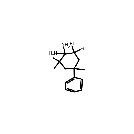 CCC1(CC)CC(C)(c2ccccc2)CC(C)(C)C1(N)N